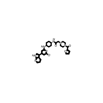 O=C(CN1CCN(C(=O)c2ccco2)CC1)N[C@H]1CC[C@H](Nc2cc(-c3c[nH]c4ncccc34)cc(Cl)n2)CC1